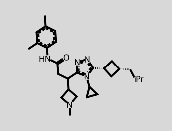 Cc1ccc(NC(=O)CC(c2nnc([C@H]3C[C@@H](CC(C)C)C3)n2C2CC2)C2CN(C)C2)c(C)c1